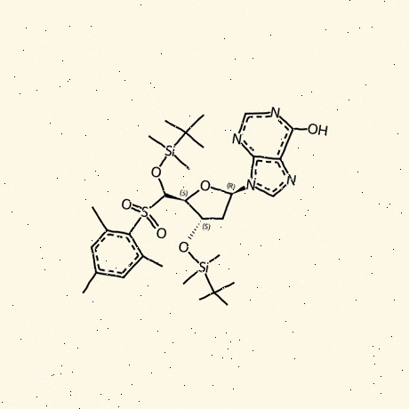 Cc1cc(C)c(S(=O)(=O)C(O[Si](C)(C)C(C)(C)C)[C@H]2O[C@@H](n3cnc4c(O)ncnc43)C[C@@H]2O[Si](C)(C)C(C)(C)C)c(C)c1